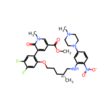 COC(=O)c1cc(-c2cc(F)c(F)cc2OCCC[C@@H](C)CNc2cc(N3CCN(C)CC3)ccc2[N+](=O)[O-])c(=O)n(C)c1